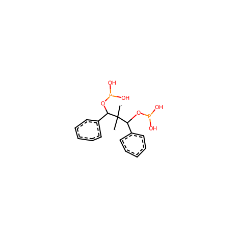 [CH2]C([CH2])([C](OP(O)O)c1ccccc1)C(OP(O)O)c1ccccc1